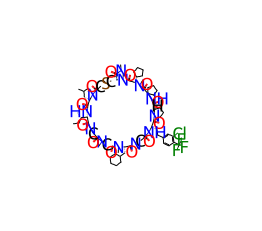 CC[C@H](C)[C@@H]1NC(=O)[C@H](CC(C)C)N(C)C(=O)CSC[C@@H](C(=O)N(C)C)N(C)C(=O)[C@H](C2CCCC2)N(C)C(=O)C2(CCCC2)NC(=O)[C@@H]2CCCN2C(=O)[C@H](CCc2ccc(C(F)(F)F)c(Cl)c2)NC(=O)CN(C)C(=O)[C@H](CC2CCCCC2)N(C)C(=O)CN(C)C(=O)CN(C)C1=O